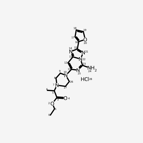 CCOC(=O)C(C)N1CCN(c2cc3nc(-c4ccco4)nn3c(N)n2)CC1.Cl